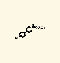 CCOC(=O)C(C)N1CC=C(c2ccc(Br)cc2)CC1